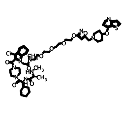 CN[C@@H](C)C(=O)N[C@H](C(=O)N1CCN(C(=O)c2c(Cl)c3ccccc3n2CC(=O)N(C)CCOCCOCCOCCOc2cc(CN3CCC(Oc4ccnc5ccsc45)CC3)on2)CC1)C1CCCCC1